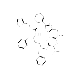 CC(C)[C@H](NC(=O)N(C)Cc1csc(C2=CCCCC2)n1)C(=O)N[C@@H](Cc1ccccc1)C[C@H](O)[C@H](Cc1ccccc1)NC(=O)OCc1ccno1